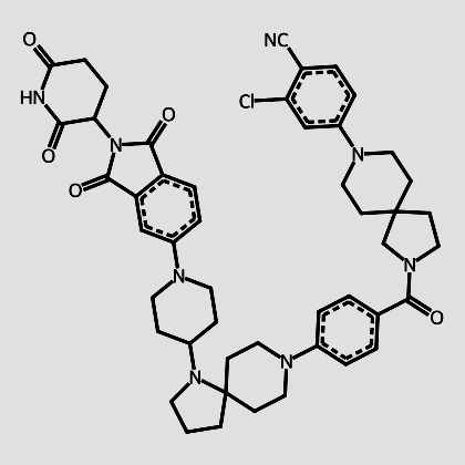 N#Cc1ccc(N2CCC3(CCN(C(=O)c4ccc(N5CCC6(CCCN6C6CCN(c7ccc8c(c7)C(=O)N(C7CCC(=O)NC7=O)C8=O)CC6)CC5)cc4)C3)CC2)cc1Cl